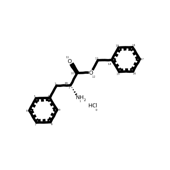 Cl.N[C@H](Cc1ccccc1)C(=O)OCc1ccccc1